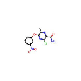 Cc1nc(C(N)=O)c(Cl)nc1Oc1cccc([N+](=O)[O-])c1